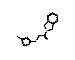 Cc1nnc(SCC(=O)N2Cc3ccccc3C2)s1